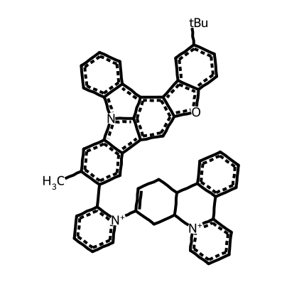 Cc1cc2c(cc1-c1cccc[n+]1C1=CCC3c4ccccc4-c4cccc[n+]4C3C1)c1cc3oc4ccc(C(C)(C)C)cc4c3c3c4ccccc4n2c13